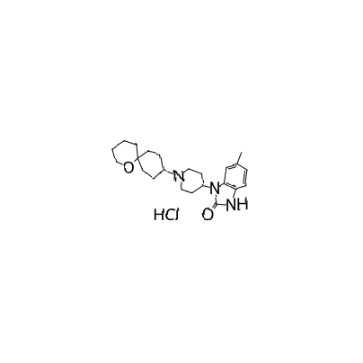 Cc1ccc2[nH]c(=O)n(C3CCN(C4CCC5(CCCCO5)CC4)CC3)c2c1.Cl